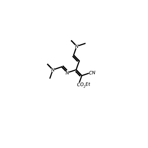 CCOC(=O)C(C#N)=C(C=CN(C)C)N=CN(C)C